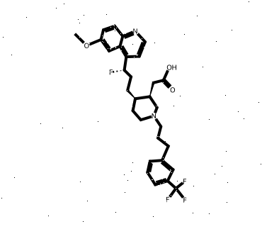 COc1ccc2nccc([C@@H](F)CC[C@@H]3CCN(CCCc4cccc(C(F)(F)F)c4)C[C@@H]3CC(=O)O)c2c1